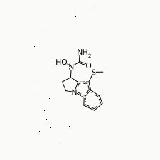 CSc1c2n(c3ccccc13)CCC2N(O)C(N)=O